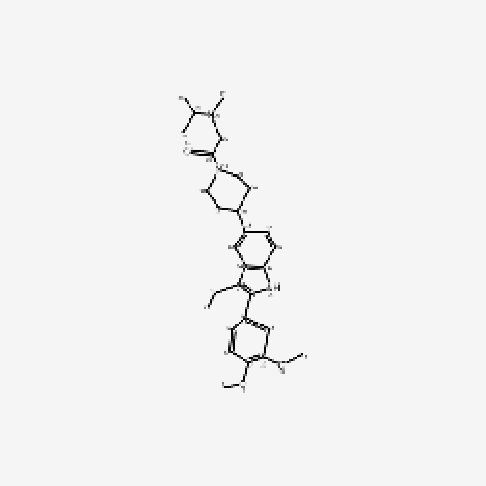 CCc1c(-c2ccc(OC)c(OC)c2)[nH]c2ccc(C3CCN(C(=O)CN(C)C(C)C)CC3)cc12